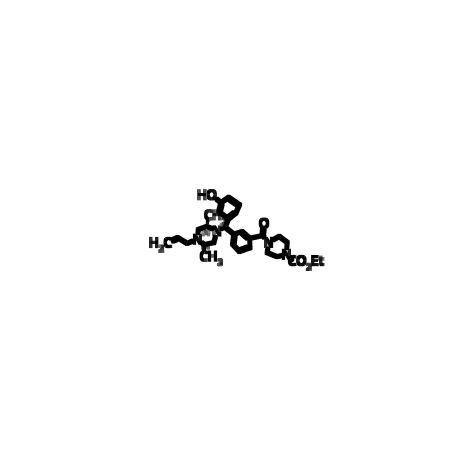 C=CCN1C[C@H](C)N([C@@H](c2cccc(O)c2)c2cccc(C(=O)N3CCN(C(=O)OCC)CC3)c2)C[C@H]1C